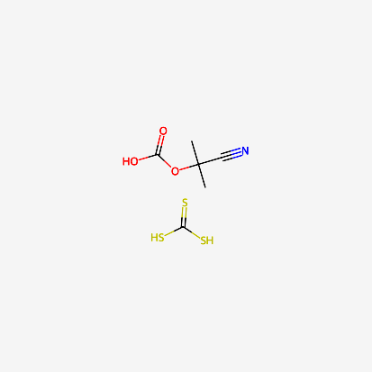 CC(C)(C#N)OC(=O)O.S=C(S)S